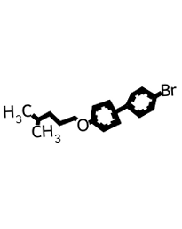 CC(C)CCCOc1ccc(-c2ccc(Br)cc2)cc1